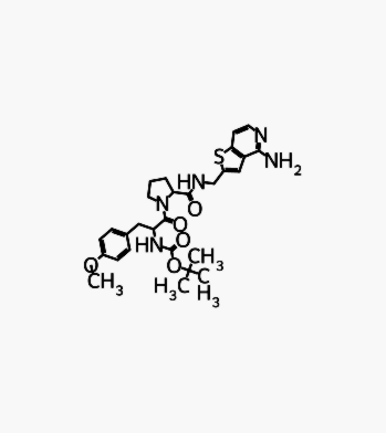 COc1ccc(CC(NC(=O)OC(C)(C)C)C(=O)N2CCCC2C(=O)NCc2cc3c(N)nccc3s2)cc1